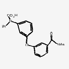 CNC(=O)c1cccc(Oc2cccc(N(C(=O)O)C(C)C)c2)c1